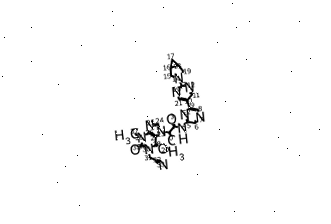 CC(C(=O)Nc1cncc(-c2cnc(N3CC4CC4C3)nc2)n1)n1cnc2c1c(=O)n(CC#N)c(=O)n2C